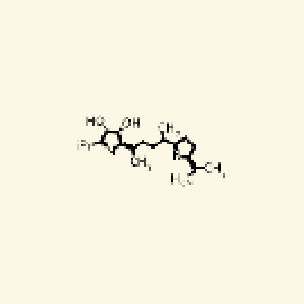 CC(C)=C1CCC([C@H](C)CC/C(C)=C2/N=C(C(C)C)[C@H](O)[C@H]2O)=N1